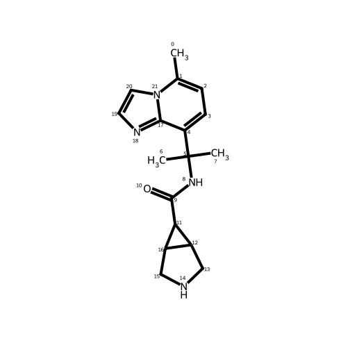 Cc1ccc(C(C)(C)NC(=O)C2C3CNCC32)c2nccn12